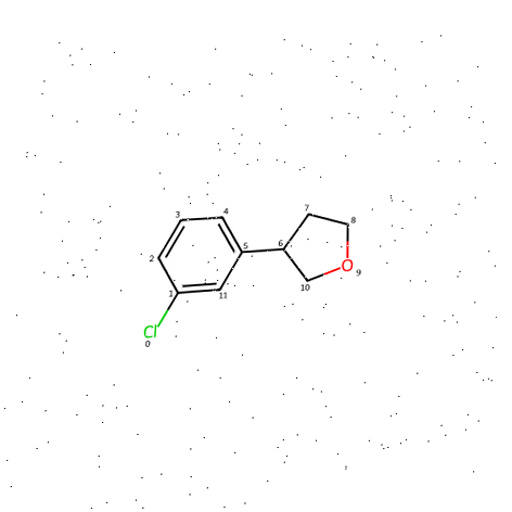 Clc1cccc(C2CCOC2)c1